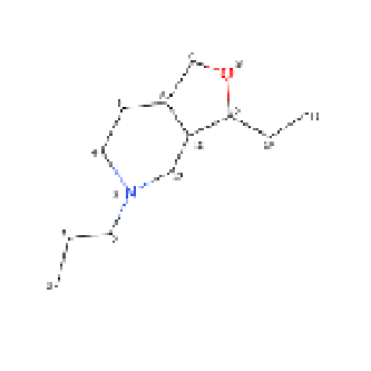 CCCN1CCC2COC(CC)C2C1